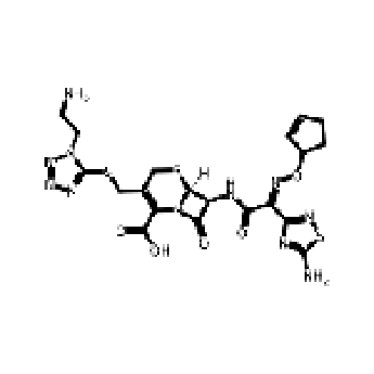 NCCn1nnnc1SCC1=C(C(=O)O)N2C(=O)C(NC(=O)C(=NOC3C=CCC3)c3nsc(N)n3)[C@@H]2SC1